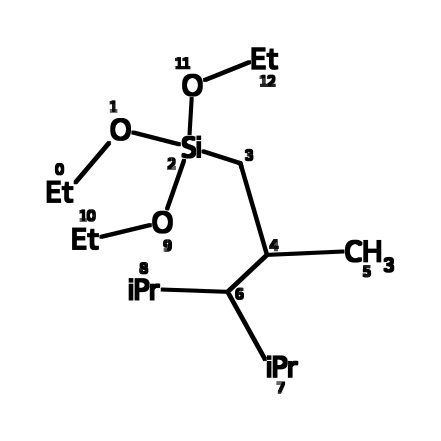 CCO[Si](CC(C)C(C(C)C)C(C)C)(OCC)OCC